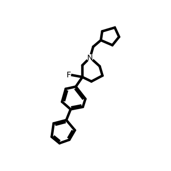 FC1(c2ccc(-c3ccccc3)cc2)CCCN(CC2CCCC2)C1